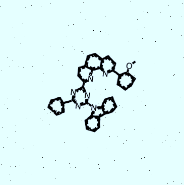 COc1ccccc1-c1ccc2ccc3ccc(-c4nc(-c5ccccc5)nc(-n5c6ccccc6c6ccccc65)n4)nc3c2n1